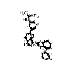 CC(C)Nc1cncc(-c2ccc3[nH]nc(-c4nc5c(-c6ccncc6)cccc5[nH]4)c3n2)c1